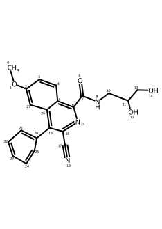 COc1ccc2c(C(=O)NCC(O)CO)nc(C#N)c(-c3ccccc3)c2c1